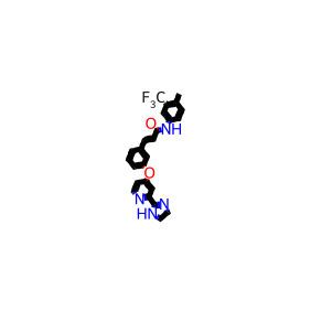 Cc1ccc(NC(=O)/C=C/c2cccc(Oc3ccnc(C4=NCCN4)c3)c2)cc1C(F)(F)F